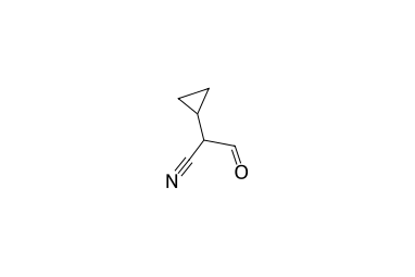 N#CC(C=O)C1CC1